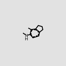 CNc1ccc2c(c1C)CCC2